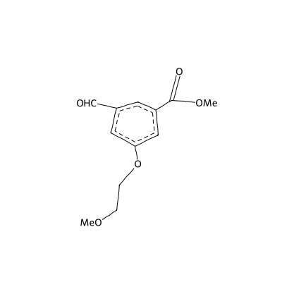 COCCOc1cc(C=O)cc(C(=O)OC)c1